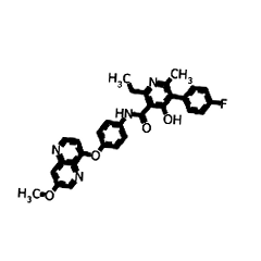 CCc1nc(C)c(-c2ccc(F)cc2)c(O)c1C(=O)Nc1ccc(Oc2ccnc3cc(OC)cnc23)cc1